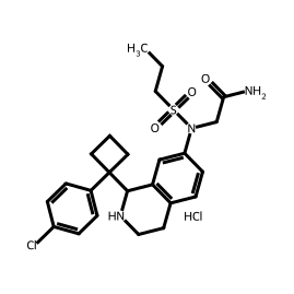 CCCS(=O)(=O)N(CC(N)=O)c1ccc2c(c1)C(C1(c3ccc(Cl)cc3)CCC1)NCC2.Cl